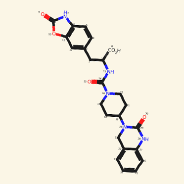 O=C(O)C(Cc1ccc2[nH]c(=O)oc2c1)NC(=O)N1CCC(N2Cc3ccccc3NC2=O)CC1